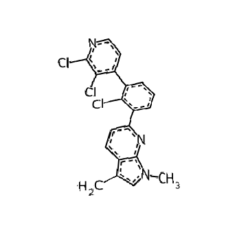 [CH2]c1cn(C)c2nc(-c3cccc(-c4ccnc(Cl)c4Cl)c3Cl)ccc12